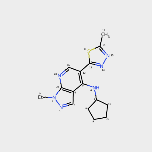 CCn1ncc2c(NC3CCCC3)c(-c3nnc(C)s3)cnc21